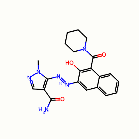 Cn1ncc(C(N)=O)c1/N=N/c1cc2ccccc2c(C(=O)N2CCCCC2)c1O